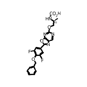 C[C@@H](COc1ncc2nc(-c3cc(F)c(OCc4ccccc4)c(F)c3)oc2n1)NC(=O)O